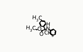 CCOC(=O)C(C)(Nc1ccccc1)c1ccc(C)cc1